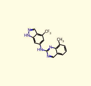 Cc1cccc2cnc(Nc3cc(C(F)(F)F)c4cn[nH]c4c3)nc12